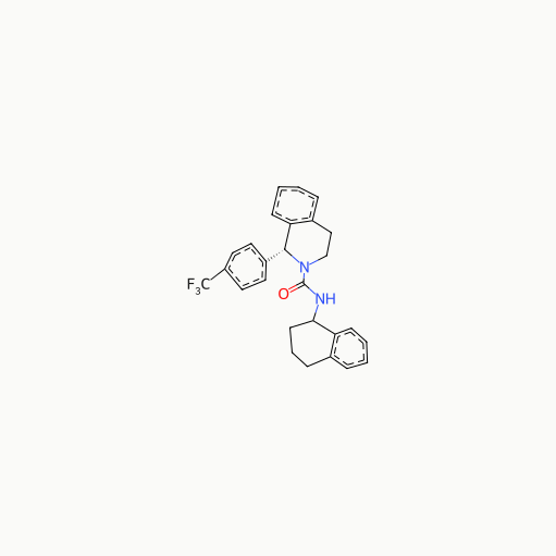 O=C(NC1CCCc2ccccc21)N1CCc2ccccc2[C@H]1c1ccc(C(F)(F)F)cc1